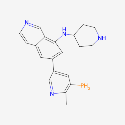 Cc1ncc(-c2cc(NC3CCNCC3)c3cnccc3c2)cc1P